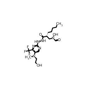 CCCCC[C@H](CN(O)C=O)C(=O)NNc1ncc(N(C)CCO)c(C(F)(F)F)n1